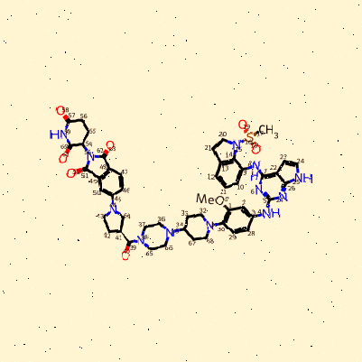 COc1cc(Nc2nc(Nc3cccc4c3N(S(C)(=O)=O)CC4)c3cc[nH]c3n2)ccc1N1CCC(N2CCN(C(=O)[C@H]3CCN(c4ccc5c(c4)C(=O)N(C4CCC(=O)NC4=O)C5=O)C3)CC2)CC1